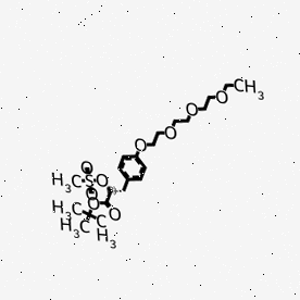 CCOCCOCCOCCOc1ccc(C[C@@H](OS(C)(=O)=O)C(=O)OC(C)(C)C)cc1